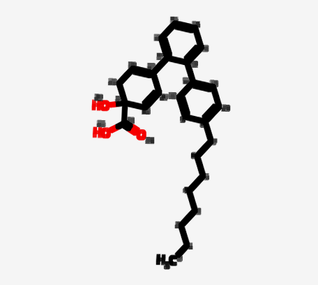 CCCCCCCCc1ccc(-c2ccccc2C2=CCC(O)(C(=O)O)C=C2)cc1